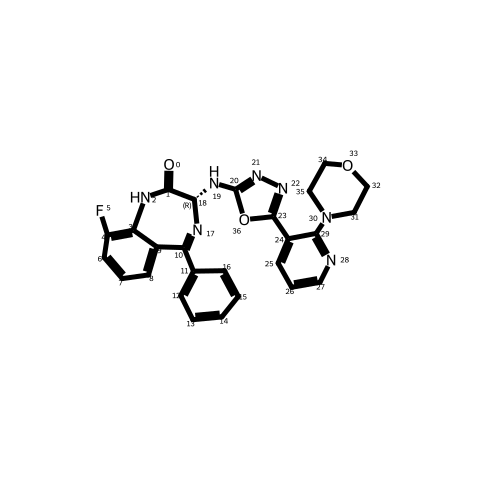 O=C1Nc2c(F)cccc2C(c2ccccc2)=N[C@H]1Nc1nnc(-c2cccnc2N2CCOCC2)o1